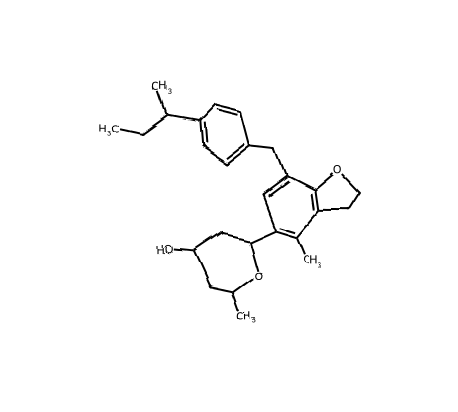 CCC(C)c1ccc(Cc2cc(C3CC(O)CC(C)O3)c(C)c3c2OCC3)cc1